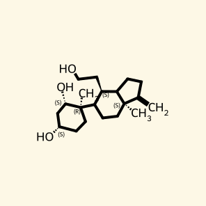 C=C1CCC2[C@H](CCO)C([C@@]3(C)CC[C@H](O)C[C@@H]3O)CC[C@]12C